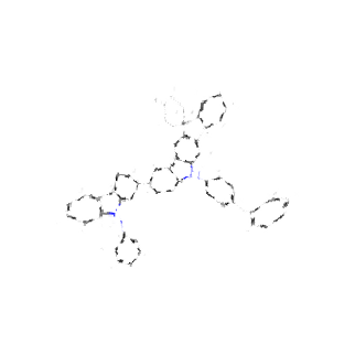 c1ccc(-c2ccc(-n3c4ccc(-c5ccc6c7ccccc7n(-c7ccccc7)c6c5)cc4c4cc5c(cc43)-c3ccccc3C53CCCCC3)cc2)cc1